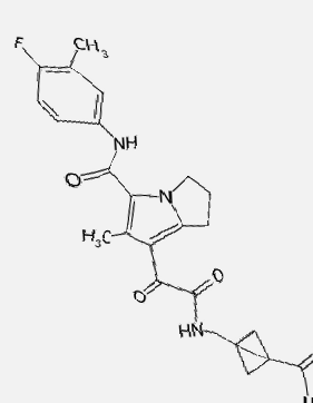 Cc1cc(NC(=O)c2c(C)c(C(=O)C(=O)NC34CC3(C(N)=O)C4)c3n2CCC3)ccc1F